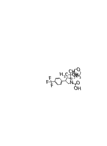 CC(C)(C)[C@]1(CN2CCOCC2)CC(c2ccc(C(F)(F)F)cc2)CN1C(=O)O